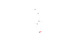 COC(=O)OC(C)(C)C(C)(C)OC(C)(C)C(C)(C)C